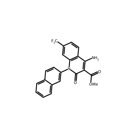 COC(=O)c1c(N)c2ccc(C(F)(F)F)cc2n(-c2ccc3ccccc3c2)c1=O